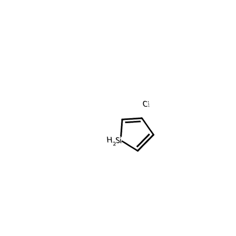 C1=C[SiH2]C=C1.[C]